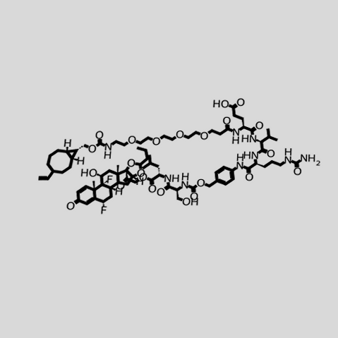 C=CC1CCC[C@H]2[C@@H](CC1)[C@H]2COC(=O)NCCOCCOCCOCCOCCC(=O)N[C@@H](CCC(=O)O)C(=O)N[C@H](C(=O)N[C@@H](CCCNC(N)=O)C(=O)Nc1ccc(COC(=O)N[C@@H](CO)C(=O)N[C@@H](CC(C)C)C(=O)OCC(=O)[C@@]23OC(CCC)O[C@@H]2CC2[C@@H]4C[C@H](F)C5=CC(=O)C=C[C@]5(C)[C@@]4(F)[C@@H](O)C[C@@]23C)cc1)C(C)C